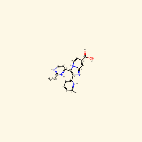 Cc1cccc(-c2nc3cc(C(=O)O)ccn3c2-c2ccnc([AsH2])n2)n1